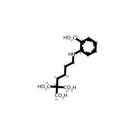 O=C(O)c1ccccc1NCCCCC(C(=O)O)(C(=O)O)C(=O)O